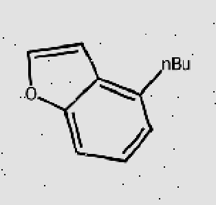 [CH2]CCCc1cccc2occc12